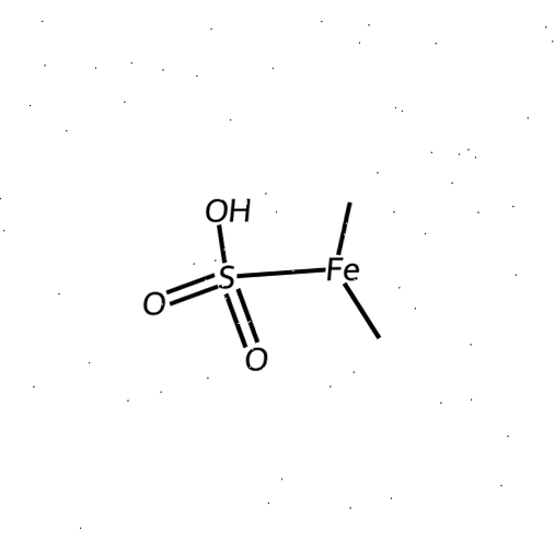 [CH3][Fe]([CH3])[S](=O)(=O)O